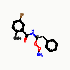 COc1ccc(Br)cc1C(=O)N[C@H](Cc1ccccc1)OON